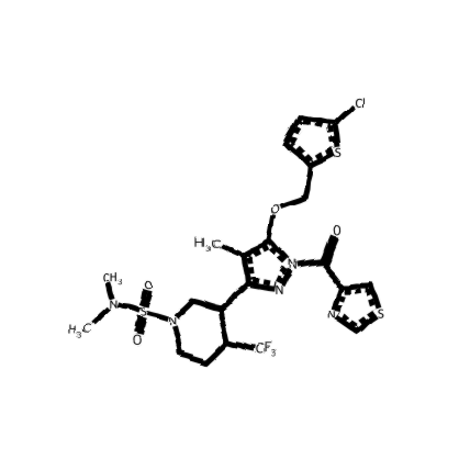 Cc1c(C2CN(S(=O)(=O)N(C)C)CCC2C(F)(F)F)nn(C(=O)c2cscn2)c1OCc1ccc(Cl)s1